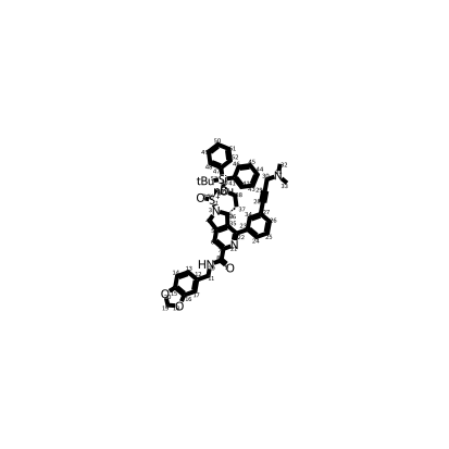 CCCC[S@+]([O-])N1Cc2cc(C(=O)NCc3ccc4c(c3)OCO4)nc(-c3cccc(C#CCN(C)C)c3)c2[C@H]1CCO[Si](c1ccccc1)(c1ccccc1)C(C)(C)C